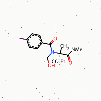 CCOC(=O)[C@](C)(C(=O)NC)N(CO)C(=O)c1ccc(I)cc1